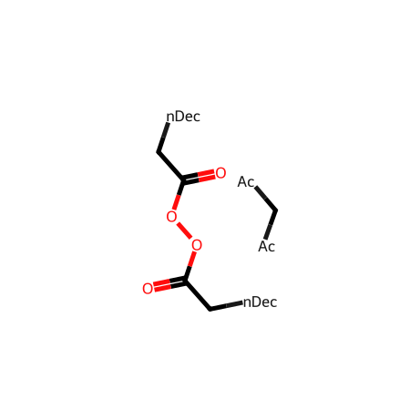 CC(=O)CC(C)=O.CCCCCCCCCCCC(=O)OOC(=O)CCCCCCCCCCC